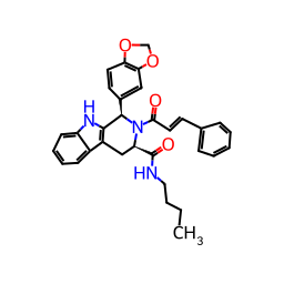 CCCCNC(=O)[C@H]1Cc2c([nH]c3ccccc23)[C@@H](c2ccc3c(c2)OCO3)N1C(=O)C=Cc1ccccc1